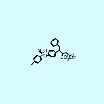 CCOC(=O)C(CN)C(Cc1ccccc1)c1ccc(OS(=O)(=O)c2ccc(C)cc2)cc1